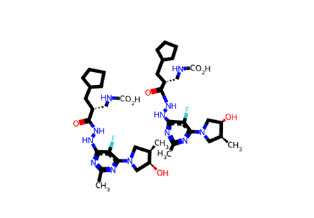 Cc1nc(NNC(=O)[C@@H](CNC(=O)O)CC2CCCC2)c(F)c(N2C[C@@H](C)[C@@H](O)C2)n1.Cc1nc(NNC(=O)[C@@H](CNC(=O)O)CC2CCCC2)c(F)c(N2C[C@@H](O)[C@@H](C)C2)n1